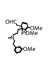 COC1=C(OC)C(CCCN(C)CCc2cccc(OC)c2)(C(C)C)[C@@H](CC=O)C=C1